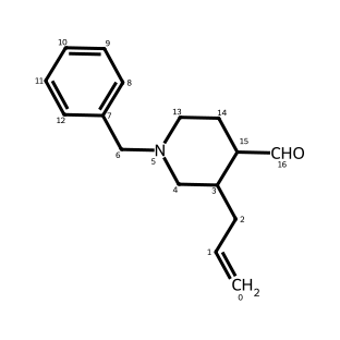 C=CCC1CN(Cc2ccccc2)CCC1C=O